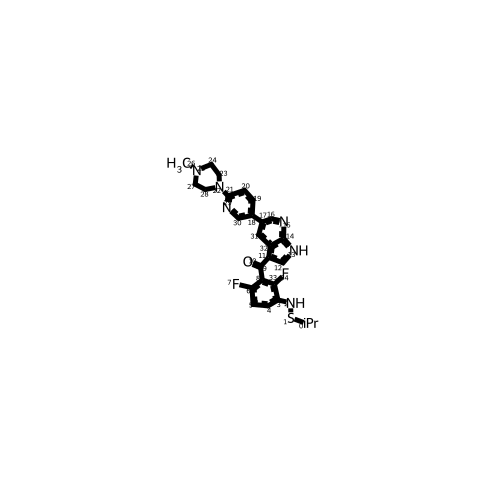 CC(C)SNc1ccc(F)c(C(=O)c2c[nH]c3ncc(-c4ccc(N5CCN(C)CC5)nc4)cc23)c1F